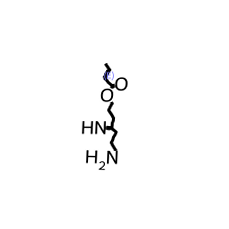 C/C=C/C(=O)OCCCC(=N)CCCN